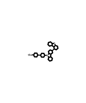 CC(C)(C)c1ccc(-c2ccc(-n3c4ccccc4c4cc(-c5cccc6sc7ccccc7c56)ccc43)cc2)cc1